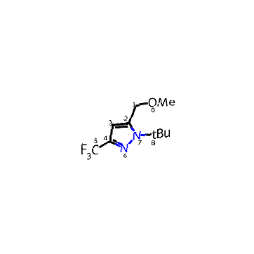 COCc1cc(C(F)(F)F)nn1C(C)(C)C